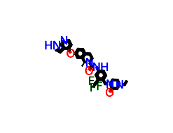 CCN1CCN(Cc2ccc(NC(=O)N3CCc4ccc(Oc5ccnc6[nH]ccc56)cc4[C@@H]3C)cc2C(F)(F)F)C(=O)C1